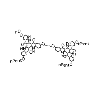 CCCCCOc1ccc2[nH]c3c4c(=O)c5cc(OCO)ccc5[nH]c4c4c(=O)c5cc(OCCCOc6ccc7[nH]c8c9c(=O)c%10cc(OCCCCC)ccc%10[nH]c9c9c(=O)c%10cc(OCCCCC)ccc%10[nH]c9c8c(=O)c7c6)ccc5[nH]c4c3c(=O)c2c1